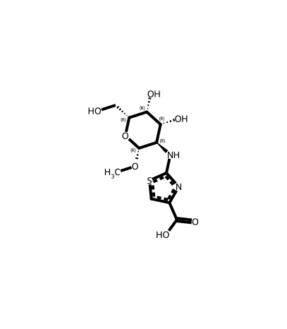 CO[C@@H]1O[C@H](CO)[C@H](O)[C@H](O)[C@H]1Nc1nc(C(=O)O)cs1